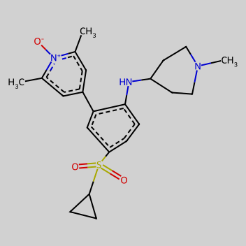 Cc1cc(-c2cc(S(=O)(=O)C3CC3)ccc2NC2CCN(C)CC2)cc(C)[n+]1[O-]